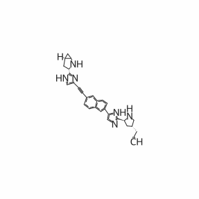 C#CC[C@H]1CN[C@H](c2ncc(-c3ccc4cc(C#Cc5c[nH]c([C@@H]6C[C@H]7CC7N6)n5)ccc4c3)[nH]2)C1